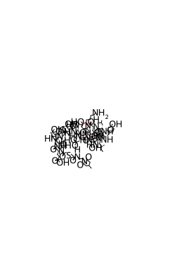 CC[C@H](C)[C@H](NC(=O)[C@H](CO)NC(=O)[C@H](Cc1ccc(O)cc1)NC(=O)[C@H](CC(=O)O)NC(=O)[C@H](CO)NC(=O)[C@@H](NC(=O)[C@H](Cc1ccccc1)NC(=O)[C@@H](NC(=O)CNC(=O)[C@H](CCC(=O)O)NC(=O)CSCC(=O)NCCN1C(=O)CC(C)CC1=O)[C@@H](C)O)[C@@H](C)O)C(=O)N[C@@H](Cc1ccc(O)cc1)C(=O)N[C@@H](CC(C)C)C(=O)N[C@@H](CC(=O)O)C(=O)N[C@H](C)CCCCN